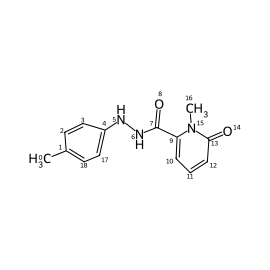 Cc1ccc(NNC(=O)c2cccc(=O)n2C)cc1